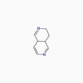 C1=CC2C=NCCC2C=N1